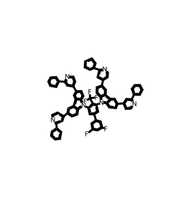 Fc1cc(F)cc(-c2cc(-n3c4ccc(-c5ccnc(-c6ccccc6)c5)cc4c4cc(-c5ccnc(-c6ccccc6)c5)ccc43)c(C(F)(F)F)c(-n3c4ccc(-c5ccnc(-c6ccccc6)c5)cc4c4cc(-c5ccnc(-c6ccccc6)c5)ccc43)c2)c1